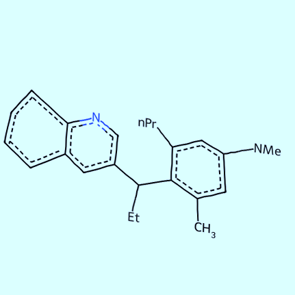 CCCc1cc(NC)cc(C)c1C(CC)c1cnc2ccccc2c1